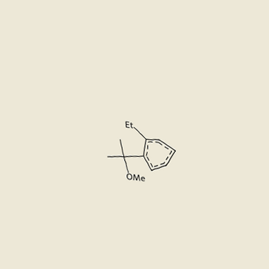 CCc1ccccc1C(C)(C)OC